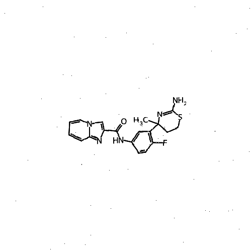 CC1(c2cc(NC(=O)c3cn4ccccc4n3)ccc2F)CCSC(N)=N1